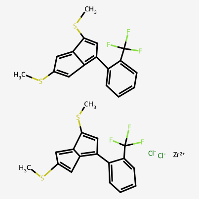 CSC1=CC2=C(c3ccccc3C(F)(F)F)C=C(SC)C2=C1.CSC1=CC2=C(c3ccccc3C(F)(F)F)C=C(SC)C2=C1.[Cl-].[Cl-].[Zr+2]